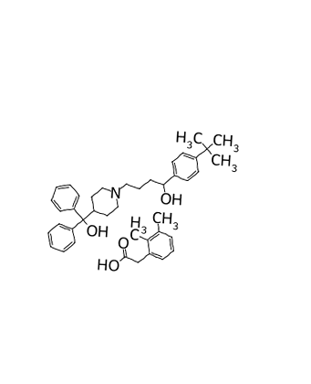 CC(C)(C)c1ccc(C(O)CCCN2CCC(C(O)(c3ccccc3)c3ccccc3)CC2)cc1.Cc1cccc(CC(=O)O)c1C